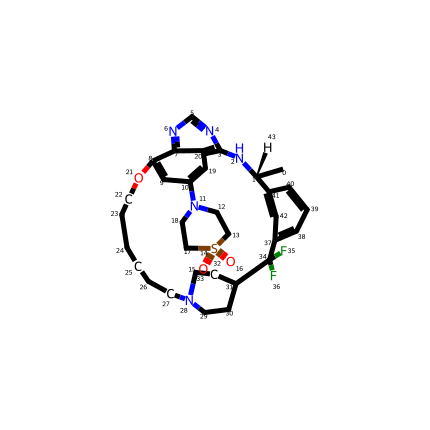 C[C@H]1Nc2ncnc3c(cc(N4CCS(=O)(=O)CC4)cc23)OCCCCCCN2CCC(CC2)C(F)(F)c2cccc1c2